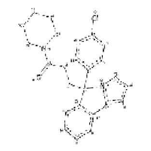 O=C(CCC1(c2ccc(Cl)cc2)c2ccccc2-c2nccn21)N1CCCCC1